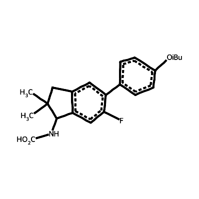 CC(C)COc1ccc(-c2cc3c(cc2F)C(NC(=O)O)C(C)(C)C3)cc1